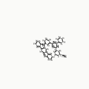 N#Cc1cccc(-c2nc(-c3ccccc3)nc(-c3cccc(-n4c5ccccc5c5cc6sc7ccccc7c6cc54)c3)n2)c1